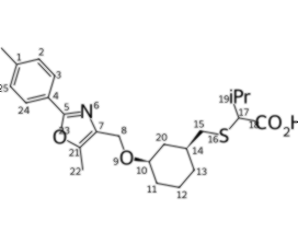 Cc1ccc(-c2nc(CO[C@@H]3CCC[C@H](CSC(C(=O)O)C(C)C)C3)c(C)o2)cc1